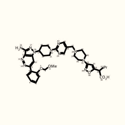 COCOc1ccccc1-c1cc2c(nn1)c(N)nn2C1CCN(c2ncc(CN3CCN(c4cc(C(C(=O)O)C(C)C)on4)CC3)cn2)CC1